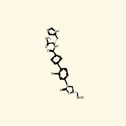 CC(=O)NC[C@H]1CN(c2ccc(-c3ccc(C(=O)N[C@@H](Cc4cnc[nH]4)C(N)=O)cc3)c(F)c2)C(=O)O1